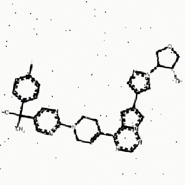 CC(O)(c1ccc(F)cc1)c1cnc(N2CC=C(c3ncnn4cc(-c5cnn(C6COC[C@@H]6O)c5)cc34)CC2)nc1